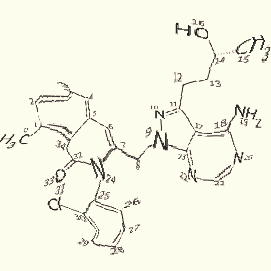 Cc1cccc2cc(Cn3nc(CC[C@@H](C)O)c4c(N)ncnc43)n(-c3ccccc3Cl)c(=O)c12